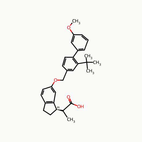 COc1cccc(-c2ccc(COc3ccc4c(c3)[C@@H](C(C)C(=O)O)CC4)cc2C(C)(C)C)c1